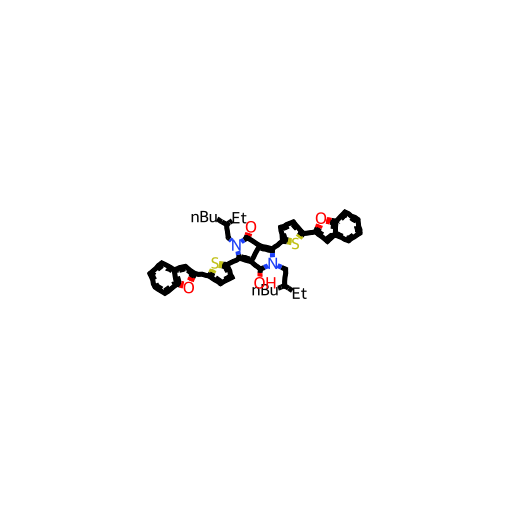 CCCCC(CC)CN1C(=O)C2=C(c3ccc(-c4cc5ccccc5o4)s3)N(CC(CC)CCCC)C(O)C2=C1c1ccc(-c2cc3ccccc3o2)s1